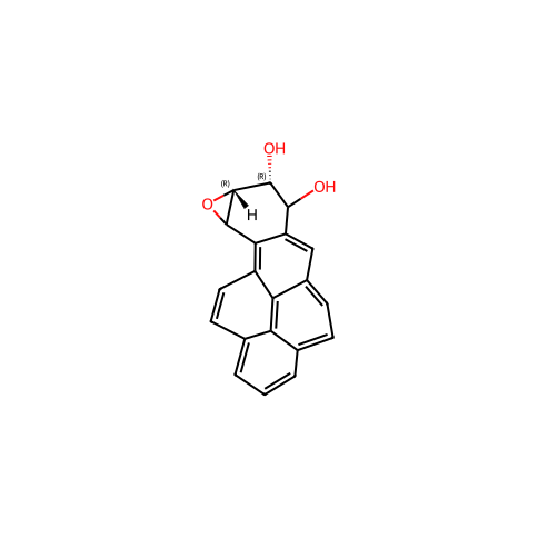 OC1c2cc3ccc4cccc5ccc(c2C2O[C@@H]2[C@@H]1O)c3c45